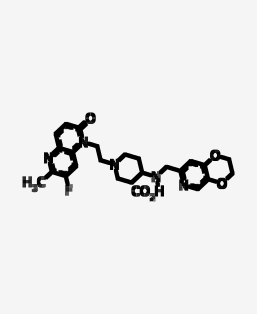 Cc1nc2ccc(=O)n(CCN3CCC(N(Cc4cc5c(cn4)OCCO5)C(=O)O)CC3)c2cc1F